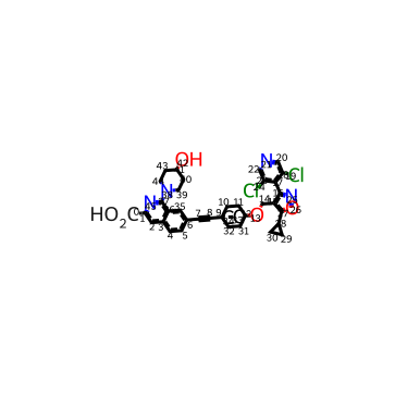 O=C(O)c1cc2ccc(C#CC34CCC(OCc5c(-c6c(Cl)cncc6Cl)noc5C5CC5)(CC3)CC4)cc2c(N2CCC(O)CC2)n1